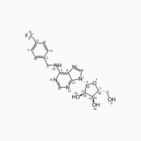 OC[C@H]1O[C@@H](n2cnc3c(NCc4ccc(C(F)(F)F)cc4)ncnc32)[C@H](O)[C@@H]1O